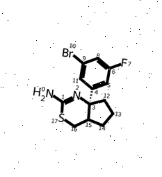 NC1=N[C@@]2(c3cc(F)cc(Br)c3)CCCC2CS1